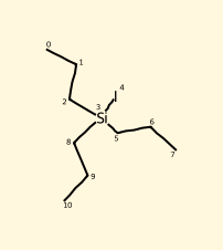 CCC[Si](I)(CCC)CCC